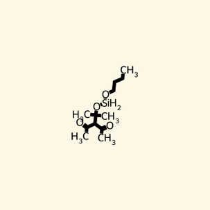 CCCCO[SiH2]OC(C)(C)C(C(C)=O)C(C)=O